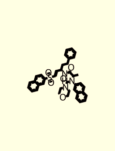 CC(C(=O)NC(C=CS(=O)(=O)c1ccc2ccccc2c1)CCc1ccccc1)N(C(=O)N1CCOCC1)c1ccc2ccccc2c1